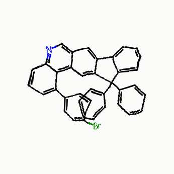 Brc1ccc(-c2cccc3ncc4cc5c(cc4c23)C(c2ccccc2)(c2ccccc2)c2ccccc2-5)cc1